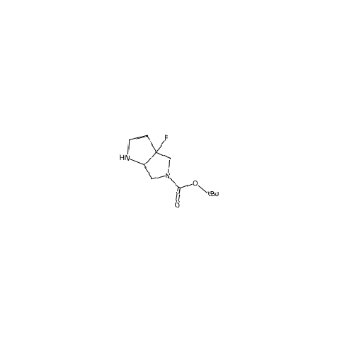 CC(C)(C)OC(=O)N1CC2NCCC2(F)C1